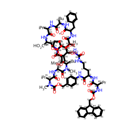 CCC(C)C(NC(=O)C(Cc1ccccc1)NC(=O)C(C)C(OC)C1CCCN1C(=O)CC(OC)C(C(C)CC)N(C)C(=O)C(NC(=O)C(C(C)C)N(C)C(=O)OCc1ccc(NC(=O)C(CCCNC(N)=O)NC(=O)C(NC(=O)OCC2c3ccccc3-c3ccccc32)C(C)C)cc1)C(C)C)C(=O)NC(C(=O)NC(COC1OC(CO)C(O)C(O)C1NC(C)=O)C(=O)O)C(C)C